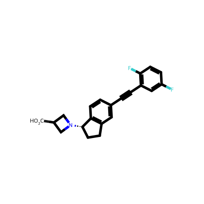 O=C(O)C1CN([C@H]2CCc3cc(C#Cc4cc(F)ccc4F)ccc32)C1